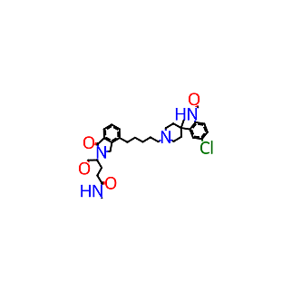 CNC(=O)CCC(C=O)N1Cc2c(CCCCCN3CCC(C)(c4cc(Cl)ccc4NC=O)CC3)cccc2C1=O